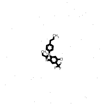 C[CH]Cc1ccc(-n2c(CC)nc3cc(C(F)(F)F)c(Cl)cc32)cc1